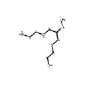 CCCCOC(COCCO)COCCO